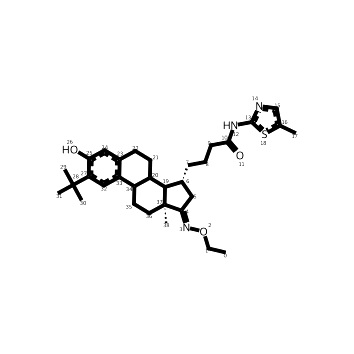 CCO/N=C1\C[C@@H](CCCC(=O)Nc2ncc(C)s2)C2C3CCc4cc(O)c(C(C)(C)C)cc4C3CC[C@]12C